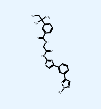 Cn1ncc(-c2cccc(-c3csc(NC(=O)CNC(=O)c4cccc(C(C)(C)CO)c4)n3)c2)n1